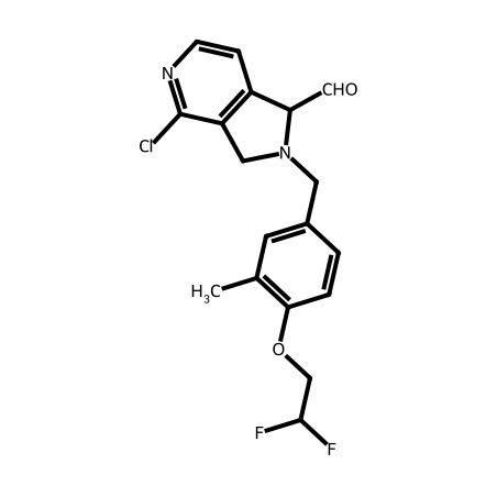 Cc1cc(CN2Cc3c(ccnc3Cl)C2C=O)ccc1OCC(F)F